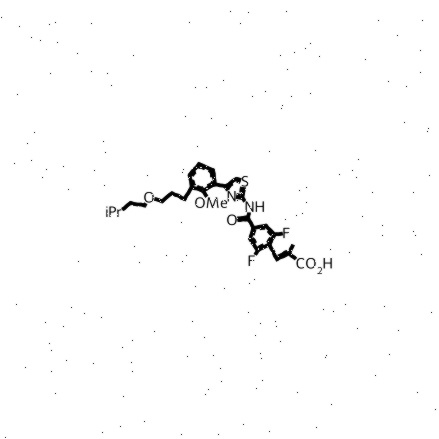 COc1c(CCCOCCC(C)C)cccc1-c1csc(NC(=O)c2cc(F)c(C=C(C)C(=O)O)c(F)c2)n1